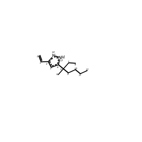 C=Cc1cc(C(C)(CC)CCCC)[nH]n1